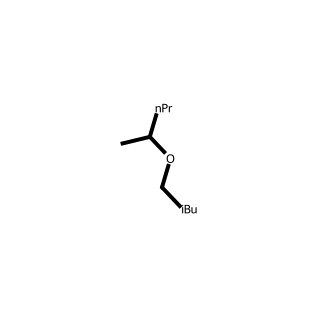 CCCC(C)OCC(C)CC